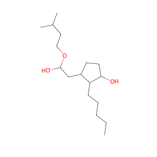 CCCCCC1C(O)CCC1CC(O)OCCC(C)C